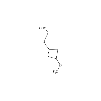 O=CCOC1CC(OC(F)(F)F)C1